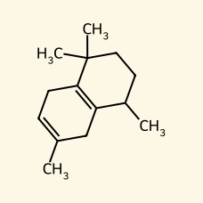 CC1=CCC2=C(C1)C(C)CCC2(C)C